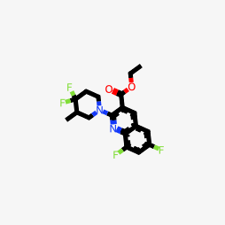 CCOC(=O)c1cc2cc(F)cc(F)c2nc1N1CCC(F)(F)C(C)C1